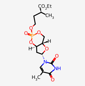 CCOC(=O)[C@@H](C)CCO[P@@]1(=O)OC[C@@H]2O[C@H](n3cc(C)c(=O)[nH]c3=O)C[C@H]2O1